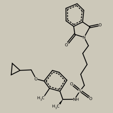 Cc1c(OCC2CC2)cccc1[C@H](C)NS(=O)(=O)CCCCCN1C(=O)c2ccccc2C1=O